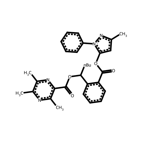 CCCCC(OC(=O)c1nc(C)c(C)nc1C)c1ccccc1C(=O)Oc1cc(C)nn1-c1ccccc1